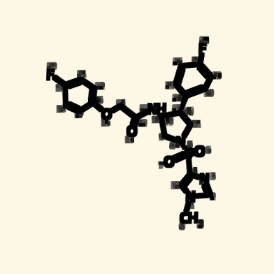 Cn1cnc(S(=O)(=O)N2C[C@H](NC(=O)COc3ccc(F)cc3)[C@@H](c3ccc(F)cc3)C2)c1